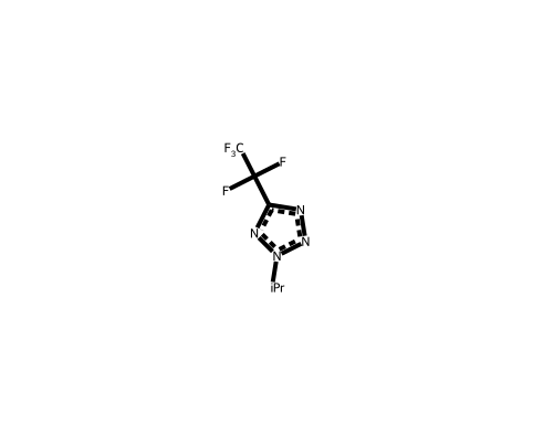 CC(C)n1nnc(C(F)(F)C(F)(F)F)n1